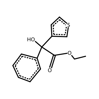 CCOC(=O)C(O)(c1ccccc1)c1ccsc1